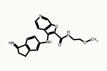 COCCNC(=O)c1oc2cnccc2c1Nc1ccc2c(c1)CCC2=N